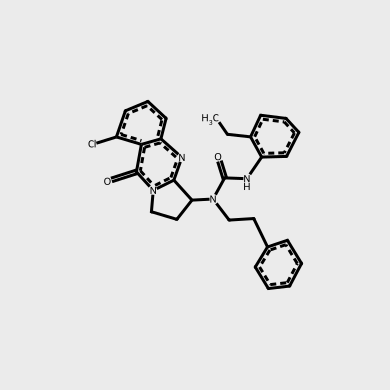 CCc1ccccc1NC(=O)N(CCc1ccccc1)C1CCn2c1nc1cccc(Cl)c1c2=O